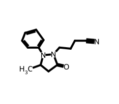 CC1CC(=O)N(CCCC#N)N1c1ccccc1